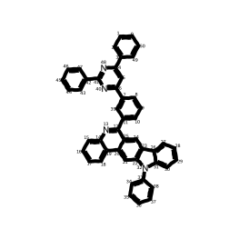 c1ccc(-c2cc(-c3cccc(-c4nc5ccccc5c5cc6c(cc45)c4ccccc4n6-c4ccccc4)c3)nc(-c3ccccc3)n2)cc1